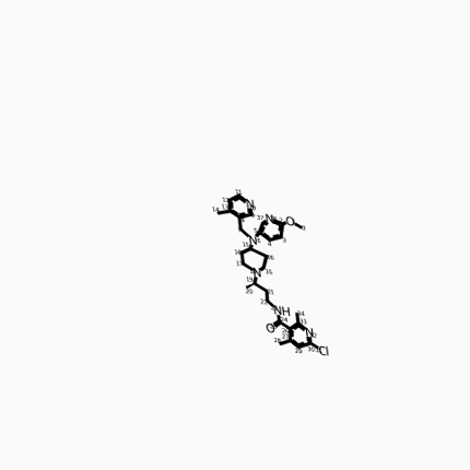 COc1ccc(N(Cc2cnccc2C)C2CCN([C@H](C)CCNC(=O)c3c(C)cc(Cl)nc3C)CC2)cn1